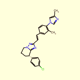 Cc1cn(-c2ccc(/C=C/c3nc4n(n3)CCC[C@H]4c3ccc(Cl)cc3)cc2C)cn1